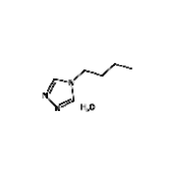 CCCCn1cnnc1.O